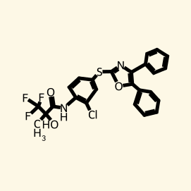 CC(O)(C(=O)Nc1ccc(Sc2nc(-c3ccccc3)c(-c3ccccc3)o2)cc1Cl)C(F)(F)F